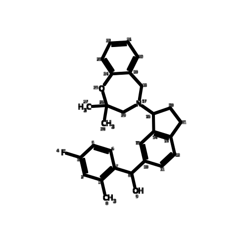 Cc1cc(F)ccc1C(O)c1ccc2c(c1)C(N1Cc3ccccc3OC(C)(C)C1)CC2